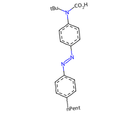 CCCCCc1ccc(N=Nc2ccc(N(C(=O)O)C(C)(C)C)cc2)cc1